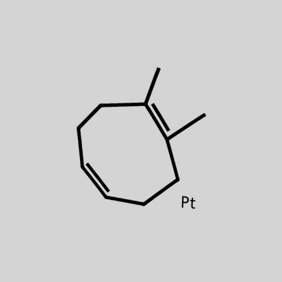 CC1=C(C)CCC=CCC1.[Pt]